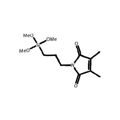 CO[Si](CCCN1C(=O)C(C)=C(C)C1=O)(OC)OC